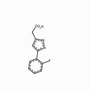 O=C(O)Cn1cc(-c2ccccc2F)nn1